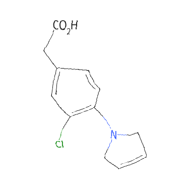 O=C(O)Cc1ccc(N2CC=CC2)c(Cl)c1